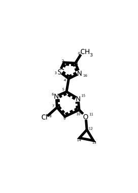 Cc1csc(-c2nc(Cl)cc(OC3CC3)n2)n1